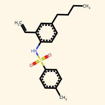 C=Cc1cc(CCCC)ccc1NS(=O)(=O)c1ccc(C)cc1